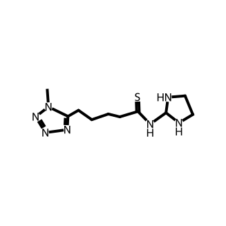 Cn1nnnc1CCCCC(=S)NC1NCCN1